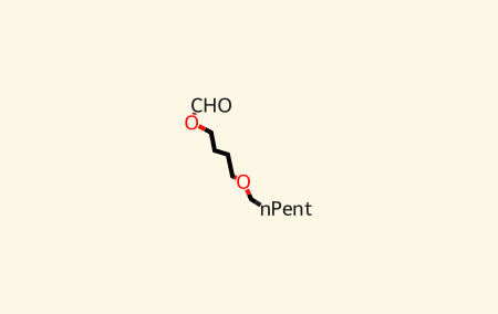 CCCCCCOCCCCOC=O